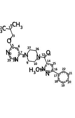 CC(C)COc1cc(N2CCN(C(=O)c3cc(-c4ccccc4)nn3C)CC2)ncn1